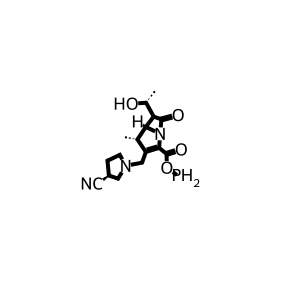 C[C@@H](O)C1C(=O)N2C(C(=O)OP)=C(CN3CC[C@H](C#N)C3)[C@H](C)[C@H]12